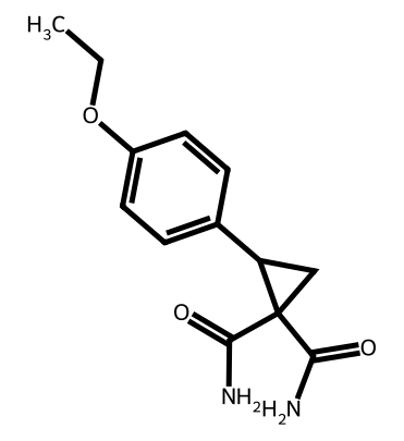 CCOc1ccc(C2CC2(C(N)=O)C(N)=O)cc1